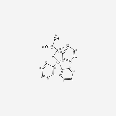 C=C(C[Si](c1ccccc1)(c1ccccc1)c1ccccc1)C(=O)O